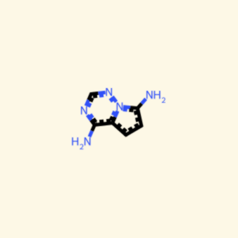 Nc1ncnn2c(N)ccc12